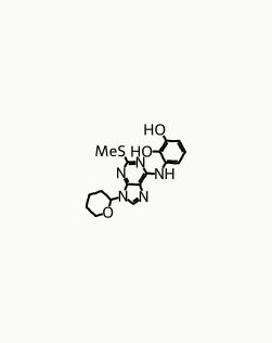 CSc1nc(Nc2cccc(O)c2O)c2ncn(C3CCCCO3)c2n1